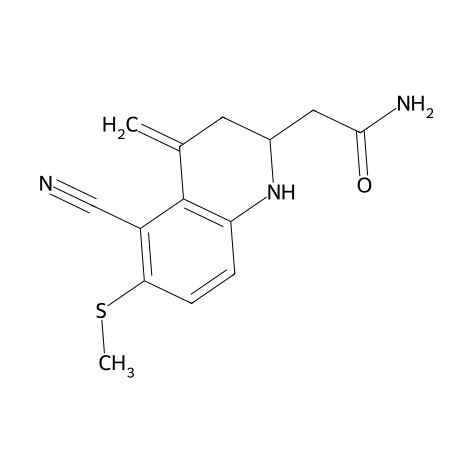 C=C1CC(CC(N)=O)Nc2ccc(SC)c(C#N)c21